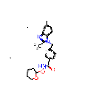 Cc1ccc2c(c1)nc(C(F)(F)F)n2Cc1ccc(C(=O)NOC2CCCCO2)cc1